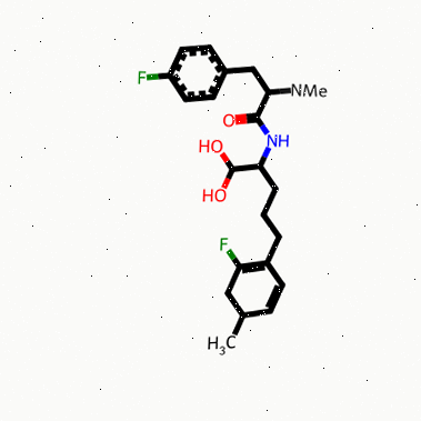 CNC(Cc1ccc(F)cc1)C(=O)NC(CCCC1=C(F)CC(C)C=C1)C(O)O